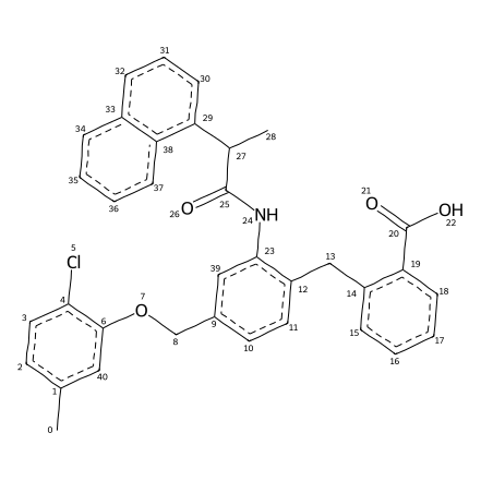 Cc1ccc(Cl)c(OCc2ccc(Cc3ccccc3C(=O)O)c(NC(=O)C(C)c3cccc4ccccc34)c2)c1